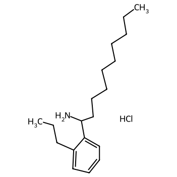 CCCCCCCCCC(N)c1ccccc1CCC.Cl